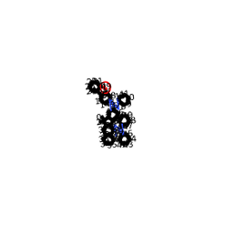 CC1(C)c2cc(N(c3ccccc3)c3ccc4c(c3)oc3ccccc34)ccc2-c2c1cc1ccccc1c2N(c1ccccc1)c1ccccc1